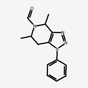 CC1Cc2c(nnn2-c2ccccc2)C(C)N1C=O